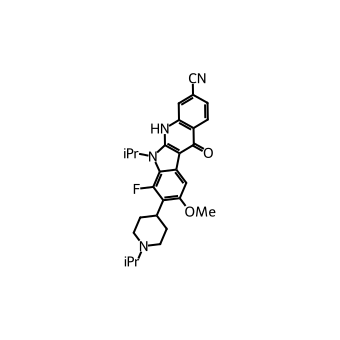 COc1cc2c3c(=O)c4ccc(C#N)cc4[nH]c3n(C(C)C)c2c(F)c1C1CCN(C(C)C)CC1